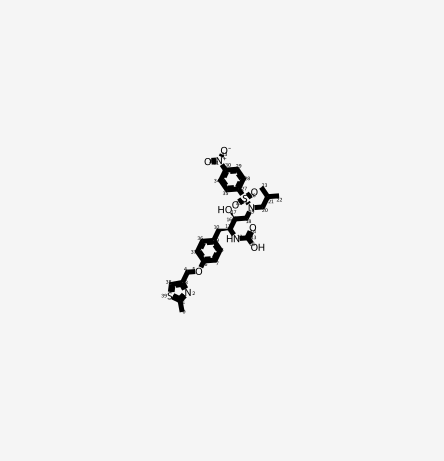 Cc1nc(COc2ccc(C[C@H](NC(=O)O)[C@H](O)CN(CC(C)C)S(=O)(=O)c3ccc([N+](=O)[O-])cc3)cc2)cs1